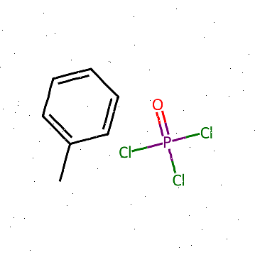 Cc1ccccc1.O=P(Cl)(Cl)Cl